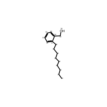 CCCCCCCCCc1ccccc1CO